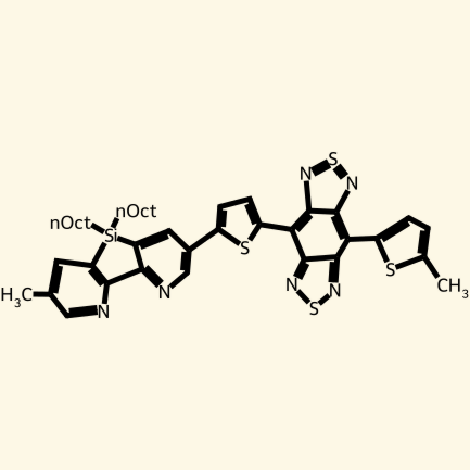 CCCCCCCC[Si]1(CCCCCCCC)c2cc(C)cnc2-c2ncc(-c3ccc(-c4c5c(c(-c6ccc(C)s6)c6nsnc46)N=S=N5)s3)cc21